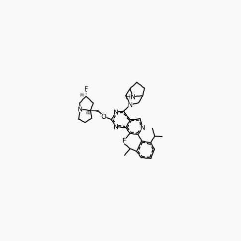 CC(C)c1cccc(C(C)C)c1-c1ncc2c(N3CC4CCC(C3)N4)nc(OC[C@@]34CCCN3C[C@H](F)C4)nc2c1F